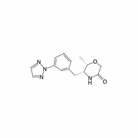 C[C@@H]1OCC(=O)N[C@@H]1Cc1cccc(-n2nccn2)c1